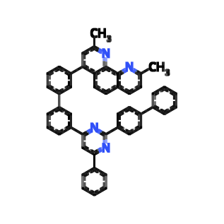 Cc1ccc2ccc3c(-c4cccc(-c5cccc(-c6cc(-c7ccccc7)nc(-c7ccc(-c8ccccc8)cc7)n6)c5)c4)cc(C)nc3c2n1